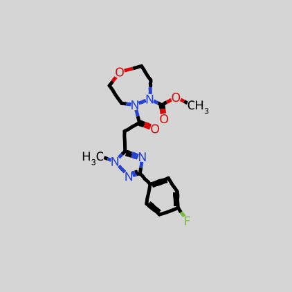 COC(=O)N1CCOCCN1C(=O)Cc1nc(-c2ccc(F)cc2)nn1C